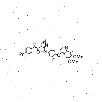 COc1cc2nccc(Oc3ccc(Nc4nn(C)cc4C(=O)Nc4ccc(C(C)C)cc4)cc3F)c2cc1OC